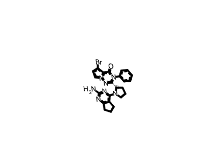 Nc1nc2c(c(N3CCC[C@H]3c3nn4ccc(Br)c4c(=O)n3-c3ccccc3)n1)CCC2